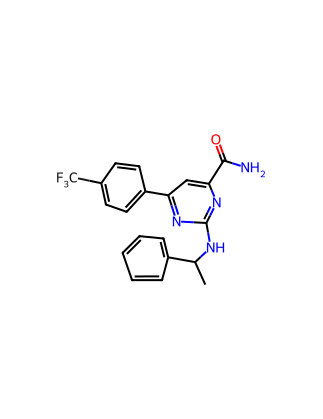 CC(Nc1nc(C(N)=O)cc(-c2ccc(C(F)(F)F)cc2)n1)c1ccccc1